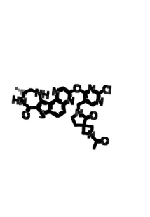 CC(=O)N1CC2(CCN(Cc3cnc(Cl)nc3Oc3cnc4c(ccc5sc6c(c54)NC[C@@H](C)NC6=O)n3)C2=O)C1